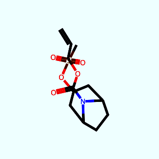 C=CCOC(=O)N1C2CCC1CC(OS(C)(=O)=O)C2